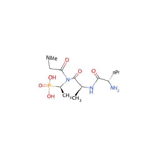 CCC[C@H](N)C(=O)N[C@@H](C)C(=O)N(C(=O)CNC)[C@@H](C)P(=O)(O)O